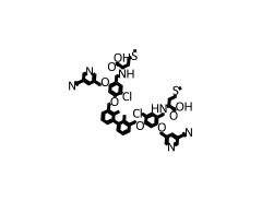 CSCCC(NCc1cc(Cl)c(OCc2cccc(-c3cccc(COc4cc(OCc5cncc(C#N)c5)c(CNC(CCSC)C(=O)O)cc4Cl)c3C)c2C)cc1OCc1cncc(C#N)c1)C(=O)O